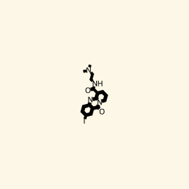 CN(C)CCNC(=O)c1cccn2c(=O)c3cc(I)ccc3nc12